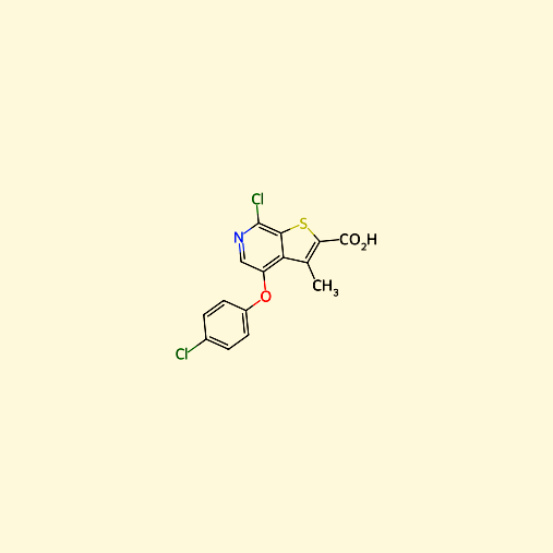 Cc1c(C(=O)O)sc2c(Cl)ncc(Oc3ccc(Cl)cc3)c12